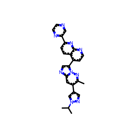 Cc1nn2c(-c3ccnc4nc(-c5cnccn5)ccc34)cnc2cc1-c1cnn(C(C)C)c1